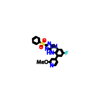 COc1cc(-c2cc(F)cc(C(C)C)c2Nc2nc(S(=O)(=O)c3ccccc3)n[nH]2)ccn1